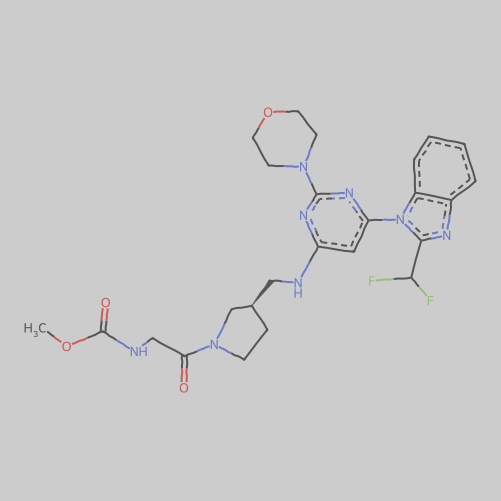 COC(=O)NCC(=O)N1CC[C@H](CNc2cc(-n3c(C(F)F)nc4ccccc43)nc(N3CCOCC3)n2)C1